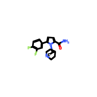 NC(=O)c1ccc(-c2ccc(F)c(F)c2)n1C1CN2CCC1CC2